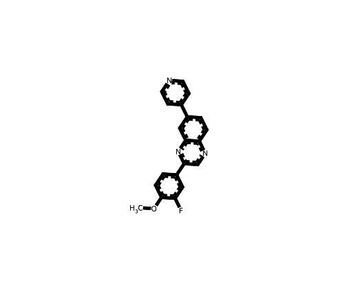 COc1ccc(-c2cnc3ccc(-c4ccncc4)cc3n2)cc1F